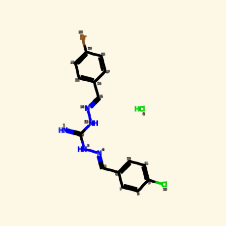 Cl.N=C(NN=Cc1ccc(Cl)cc1)NN=Cc1ccc(Br)cc1